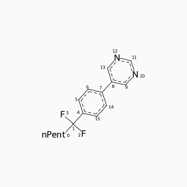 CCCCCC(F)(F)c1ccc(-c2cncnc2)cc1